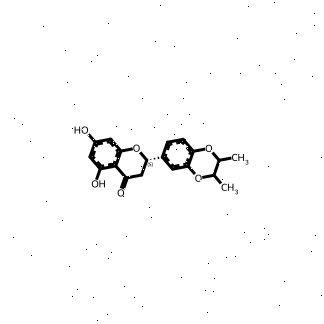 CC1Oc2ccc([C@@H]3CC(=O)c4c(O)cc(O)cc4O3)cc2OC1C